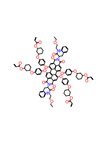 C=CC(=O)OC1CCCC(Oc2ccc(Oc3cc4c5c(cc(Oc6ccc(OC7CCCC(OC(=O)C=C)C7)cc6)c6c7c(Oc8ccc(OC9CCCC(OC(=O)C=C)C9)cc8)cc8c9c(cc(Oc%10ccc(OC%11CCCC(OC(=O)C=C)C%11)cc%10)c(c3c56)c97)C(=O)N(C(Cc3ccccc3)C(=O)NCCOCC)C8=O)C(=O)N(C(Cc3ccccc3)C(=O)NCCOCC)C4=O)cc2)C1